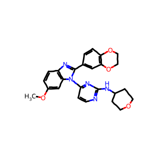 COc1ccc2nc(-c3ccc4c(c3)OCCO4)n(-c3ccnc(NC4CCOCC4)n3)c2c1